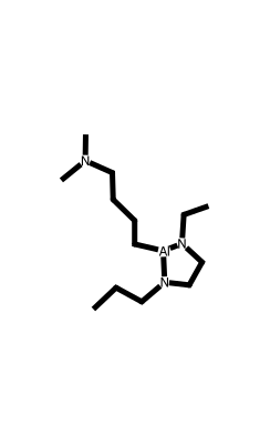 CCC[N]1CC[N](CC)[Al]1[CH2]CCCN(C)C